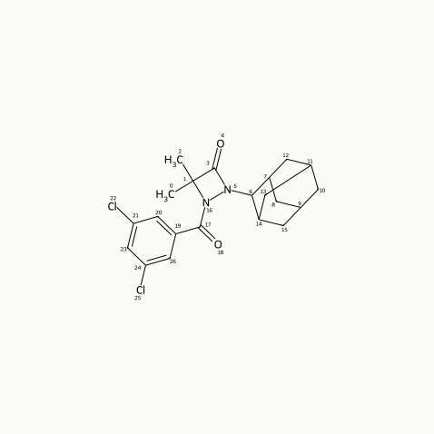 CC1(C)C(=O)N(C2C3CC4CC(C3)CC2C4)N1C(=O)c1cc(Cl)cc(Cl)c1